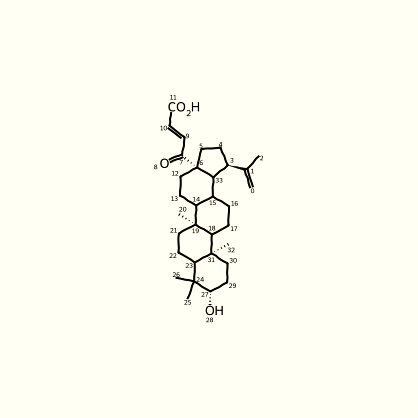 C=C(C)[C@@H]1CC[C@]2(C(=O)/C=C/C(=O)O)CCC3C(CCC4[C@@]3(C)CCC3C(C)(C)[C@@H](O)CC[C@@]34C)C12